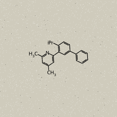 Cc1cc(C)nc(-c2cc(-c3ccccc3)ccc2C(C)C)c1